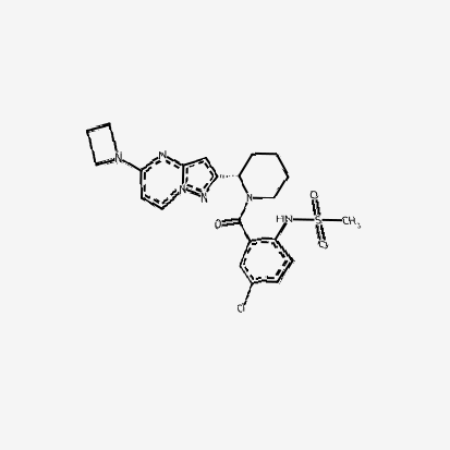 CS(=O)(=O)Nc1ccc(Cl)cc1C(=O)N1CCCC[C@H]1c1cc2nc(N3CCC3)ccn2n1